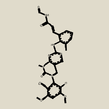 COc1cc(OC)c(Cl)c(N2Cc3cnc(Nc4c(C)cccc4C=CC(=O)NC=O)nc3N(C)C2=O)c1Cl